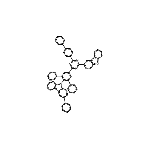 c1ccc(-c2ccc(-c3nc(-c4cc(-c5ccccc5)c(-n5c6ccccc6c6cc(-c7ccccc7)ccc65)c(-c5ccccc5)c4)nc(-c4ccc5oc6ccccc6c5c4)n3)cc2)cc1